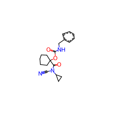 N#CN(C(=O)C1(OC(=O)NCc2ccccc2)CCCCC1)C1CC1